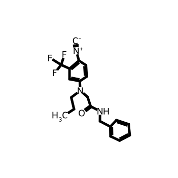 [C-]#[N+]c1ccc(N(CCC)CC(=O)NCc2ccccc2)cc1C(F)(F)F